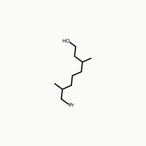 CC(C)CC(C)CCCC(C)CCO